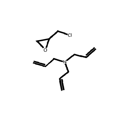 C=CCN(CC=C)CC=C.ClCC1CO1